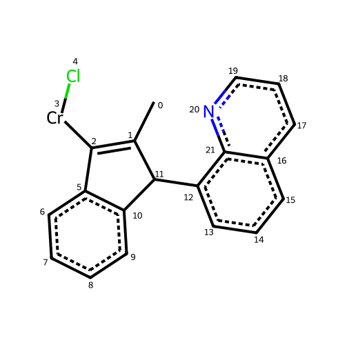 CC1=[C]([Cr][Cl])c2ccccc2C1c1cccc2cccnc12